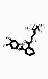 CCC(C)(C)/C(C)=C/CNC(=O)c1ccccc1-c1nc2cc(Br)c(Br)cc2[nH]1